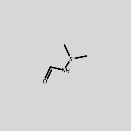 C[S+](C)NC=O